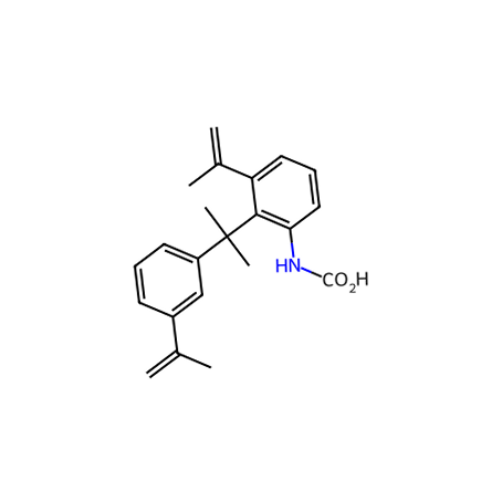 C=C(C)c1cccc(C(C)(C)c2c(NC(=O)O)cccc2C(=C)C)c1